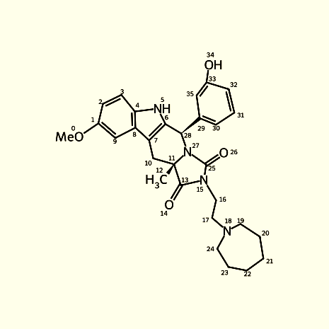 COc1ccc2[nH]c3c(c2c1)C[C@@]1(C)C(=O)N(CCN2CCCCCC2)C(=O)N1[C@@H]3c1cccc(O)c1